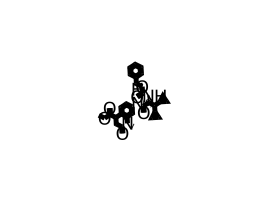 COC(=O)C1CC(=O)N(C)c2cc(NC(=O)[C@@H](NC(=O)OCc3ccccc3)C(C3CC3)C3CC3)ccc21